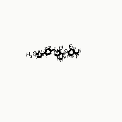 Cn1ccc(-c2ccc(CN3Cc4ncnc(Oc5ccc(C(F)F)cc5F)c4C3=O)cc2)n1